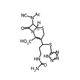 CC(=O)N(C#N)C1C(=O)N2C(C(=O)O)=C(C(CCNC(N)=O)Sc3nnn[nH]3)CS[C@@H]12